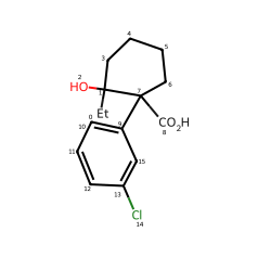 CCC1(O)CCCCC1(C(=O)O)c1cccc(Cl)c1